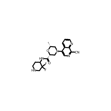 C[C@@H]1CN(c2cnc(C#N)c3ncccc23)C[C@H](C(=O)NC2CCNCC2(F)F)O1